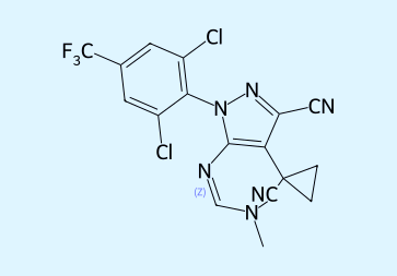 CN(C)/C=N\c1c(C2(C#N)CC2)c(C#N)nn1-c1c(Cl)cc(C(F)(F)F)cc1Cl